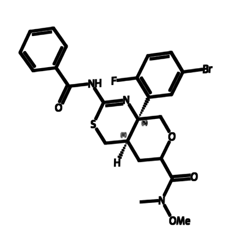 CON(C)C(=O)C1C[C@H]2CSC(NC(=O)c3ccccc3)=N[C@@]2(c2cc(Br)ccc2F)CO1